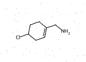 NCC1=CCC(Cl)CC1